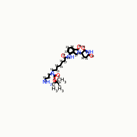 CC(C)(C)OC(=O)N(CCCN)CCCCCCC(=O)Nc1cccc2c1CN(C1CCC(=O)NC1=O)C2=O